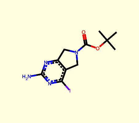 CC(C)(C)OC(=O)N1Cc2nc(N)nc(I)c2C1